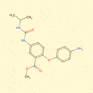 COC(=O)c1cc(NC(=O)NC(C)C)ccc1Oc1ccc(N)cc1